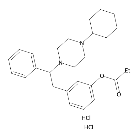 CCC(=O)Oc1cccc(CC(c2ccccc2)N2CCN(C3CCCCC3)CC2)c1.Cl.Cl